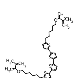 C=C(C)C(=C)OCCCCCCc1ccc(-c2ccc(-c3ccc(-c4ccc(CCCCCCOC(=C)C(=C)C)s4)s3)s2)s1